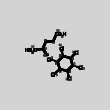 Cl[C@H]1[C@H](Cl)[C@@H](Cl)[C@@H](Cl)[C@H](Cl)[C@H]1Cl.O=C(O)CCC(F)C(=O)O